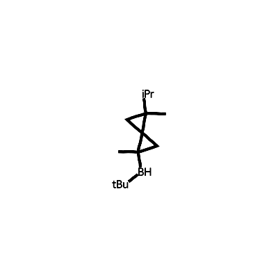 CC(C)C1(C)CC12CC2(C)BC(C)(C)C